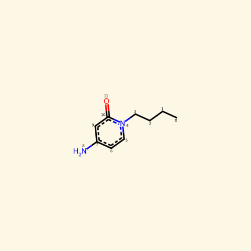 CCCCn1ccc(N)cc1=O